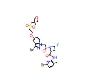 CC(=O)c1nn(CC(=O)N2C[C@H](F)C[C@H]2C(=O)Nc2nc(Br)ccc2C)c2ccc(OCCS(=O)(=O)CC3(C)COC3)cc12